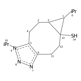 CC(C)C1C2CCc3c(nnn3C(C)C)CCC21S